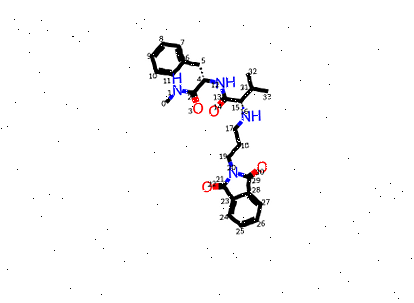 CNC(=O)[C@H](Cc1ccccc1)NC(=O)[C@@H](NCCCN1C(=O)c2ccccc2C1=O)C(C)C